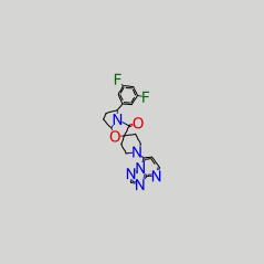 O=C1N2C(CCC2c2cc(F)cc(F)c2)OC12CCN(c1ccnc3ncnn13)CC2